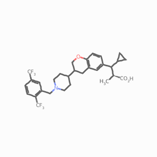 C[C@H](C(=O)O)C(c1ccc2c(c1)CC(C1CCN(Cc3cc(C(F)(F)F)ccc3C(F)(F)F)CC1)CO2)C1CC1